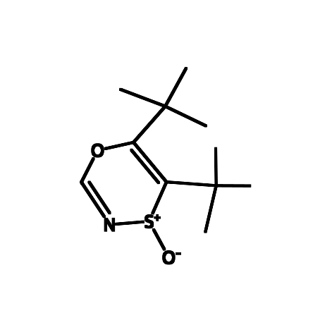 CC(C)(C)C1=C(C(C)(C)C)[S+]([O-])N=CO1